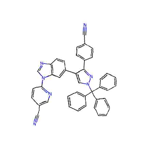 N#Cc1ccc(-c2nn(C(c3ccccc3)(c3ccccc3)c3ccccc3)cc2-c2ccc3ncn(-c4ccc(C#N)cn4)c3c2)cc1